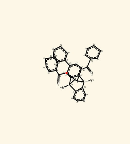 O=C(OC1C(OC(=O)c2ccccc2)[C@@H]2c3ccccc3[C@@H]1c1ccc(-c3ccccc3)cc12)c1ccccc1